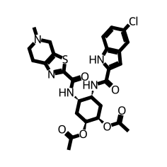 CC(=O)O[C@H]1C[C@H](NC(=O)c2nc3c(s2)CN(C)CC3)[C@H](NC(=O)c2cc3cc(Cl)ccc3[nH]2)C[C@H]1OC(C)=O